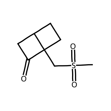 CS(=O)(=O)CC12CCC1CC2=O